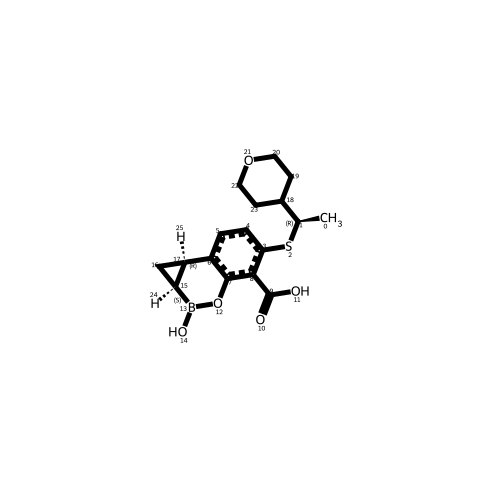 C[C@@H](Sc1ccc2c(c1C(=O)O)OB(O)[C@H]1C[C@@H]21)C1CCOCC1